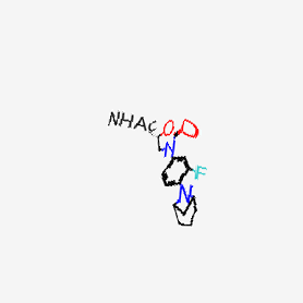 CC(=O)NC[C@H]1CN(c2ccc(N3C4CCCC3C4)c(F)c2)C(=O)O1